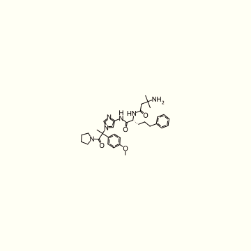 COc1ccc(C(C)(C(=O)N2CCCC2)n2cnc(NC(=O)[C@@H](CCCc3ccccc3)NC(=O)CC(C)(C)N)c2)cc1